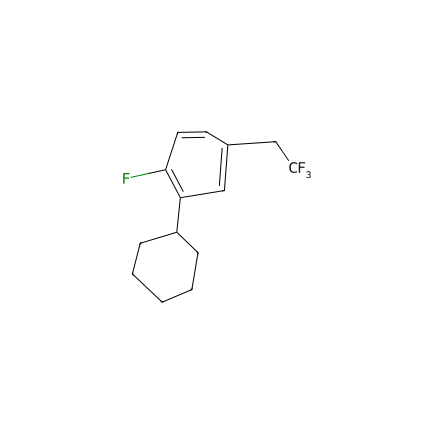 Fc1ccc(CC(F)(F)F)cc1C1CCCCC1